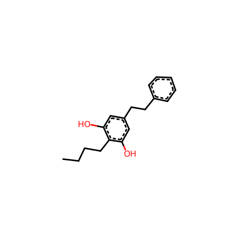 CCCCc1c(O)cc(CCc2ccccc2)cc1O